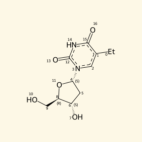 CCc1cn([C@@H]2C[C@H](O)[C@@H](CO)O2)c(=O)[nH]c1=O